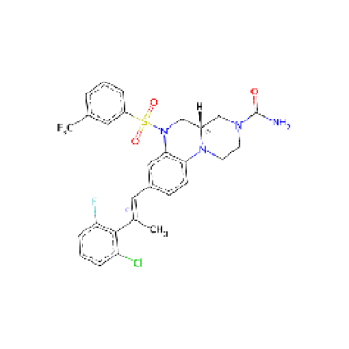 C/C(=C\c1ccc2c(c1)N(S(=O)(=O)c1cccc(C(F)(F)F)c1)C[C@@H]1CN(C(N)=O)CCN21)c1c(F)cccc1Cl